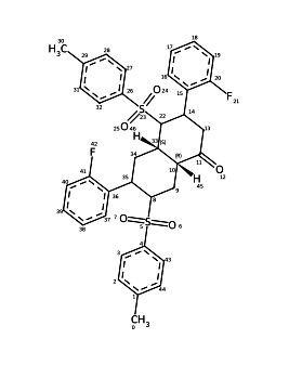 Cc1ccc(S(=O)(=O)C2C[C@H]3C(=O)CC(c4ccccc4F)C(S(=O)(=O)c4ccc(C)cc4)[C@H]3CC2c2ccccc2F)cc1